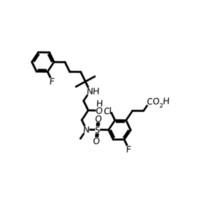 CN(CC(O)CNC(C)(C)CCCc1ccccc1F)S(=O)(=O)c1cc(F)cc(CCC(=O)O)c1Cl